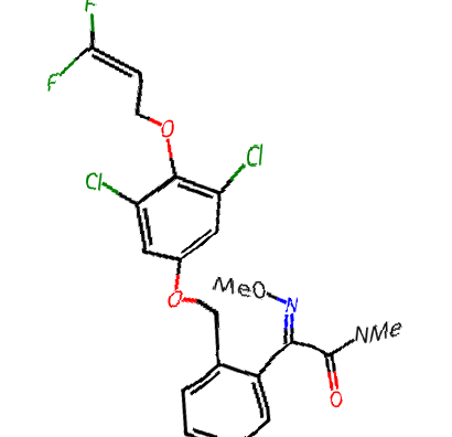 CNC(=O)/C(=N/OC)c1ccccc1COc1cc(Cl)c(OCC=C(F)F)c(Cl)c1